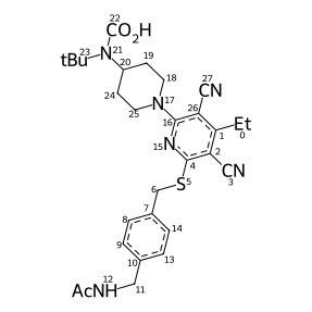 CCc1c(C#N)c(SCc2ccc(CNC(C)=O)cc2)nc(N2CCC(N(C(=O)O)C(C)(C)C)CC2)c1C#N